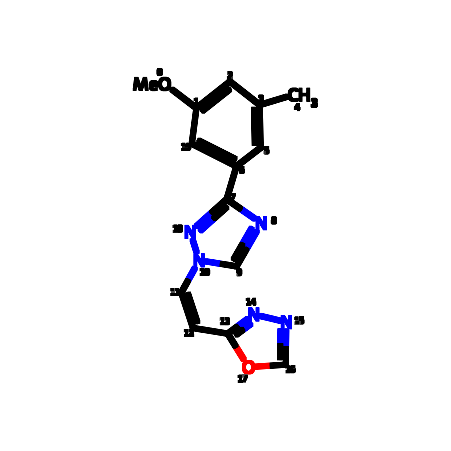 COc1cc(C)cc(-c2ncn(/C=C\c3nnco3)n2)c1